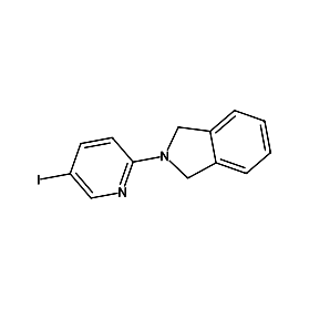 Ic1ccc(N2Cc3ccccc3C2)nc1